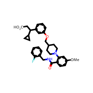 COc1ccc(C(=O)NCc2ccccc2F)c(N2CCC(COc3cccc(C(CC(=O)O)C4CC4)c3)CC2)c1